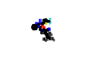 CN(CCn1c(NC(=O)c2ccc(C(F)F)s2)nc2ccccc21)C(=O)/C(C#N)=C/CCC(C)(C)C